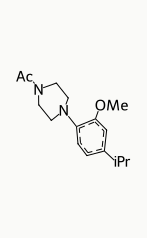 COc1cc(C(C)C)ccc1N1CCN(C(C)=O)CC1